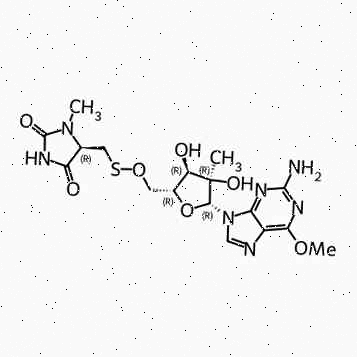 COc1nc(N)nc2c1ncn2[C@@H]1O[C@H](COSC[C@H]2C(=O)NC(=O)N2C)[C@@H](O)[C@@]1(C)O